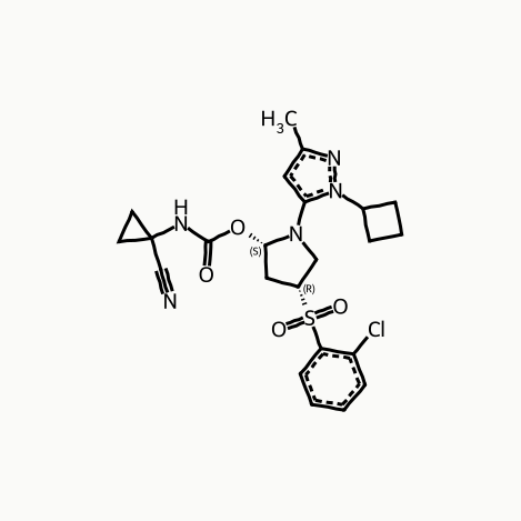 Cc1cc(N2C[C@H](S(=O)(=O)c3ccccc3Cl)C[C@@H]2OC(=O)NC2(C#N)CC2)n(C2CCC2)n1